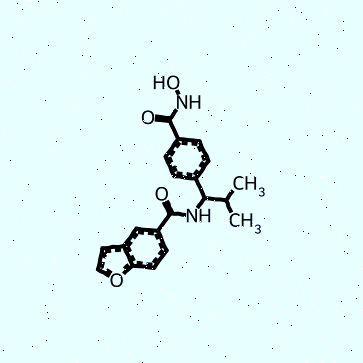 CC(C)C(NC(=O)c1ccc2occc2c1)c1ccc(C(=O)NO)cc1